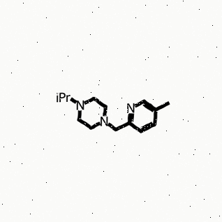 Cc1ccc(CN2CCN(C(C)C)CC2)nc1